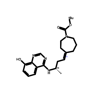 C[C@@H](C/C=C1/CCCN(C(=O)OC(C)(C)C)CC1)Nc1ncnc2c(O)cccc12